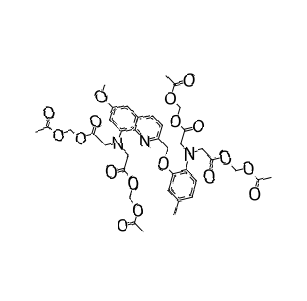 COc1cc(N(CC(=O)OCOC(C)=O)CC(=O)OCOC(C)=O)c2nc(COc3cc(C)ccc3N(CC(=O)OCOC(C)=O)CC(=O)OCOC(C)=O)ccc2c1